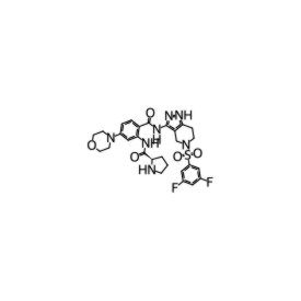 O=C(Nc1n[nH]c2c1CN(S(=O)(=O)c1cc(F)cc(F)c1)CC2)c1ccc(N2CCOCC2)cc1NC(=O)[C@H]1CCCN1